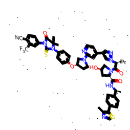 Cc1ncsc1-c1ccc([C@H](C)NC(=O)[C@@H]2C[C@@H](O)CN2C(=O)[C@@H](C(C)C)n2cc(-c3ccnc(N4CC[C@H](Oc5ccc(N6C(=S)N(c7ccc(C#N)c(C(F)(F)F)c7)C(=O)C6(C)C)cc5)C4)c3)cn2)cc1